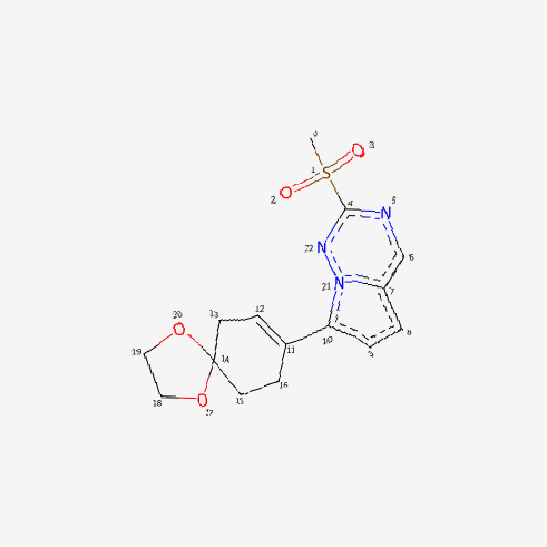 CS(=O)(=O)c1ncc2ccc(C3=CCC4(CC3)OCCO4)n2n1